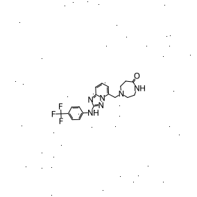 O=C1CCN(Cc2cccc3nc(Nc4ccc(C(F)(F)F)cc4)nn23)CCN1